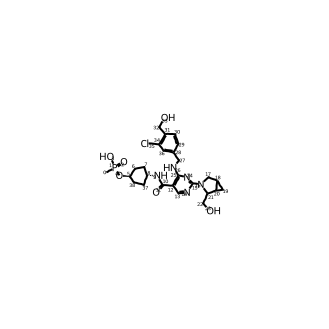 CP(=O)(O)O[C@H]1CC[C@H](NC(=O)c2cnc(N3CC4CC4C3CO)nc2NCc2ccc(CO)c(Cl)c2)CC1